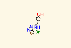 Oc1ccc(CCNc2ncnc3scc(Br)c23)cc1